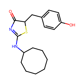 O=C1N=C(NC2CCCCCCC2)SC1Cc1ccc(O)cc1